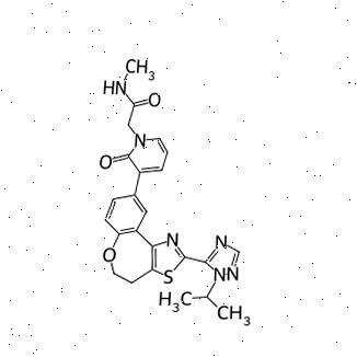 CNC(=O)Cn1cccc(-c2ccc3c(c2)-c2nc(-c4ncnn4C(C)C)sc2CCO3)c1=O